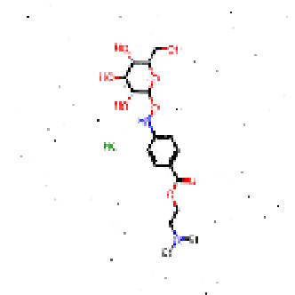 CCN(CC)CCOC(=O)c1ccc(NOC2O[C@H](CO)[C@@H](O)[C@H](O)[C@H]2O)cc1.Cl